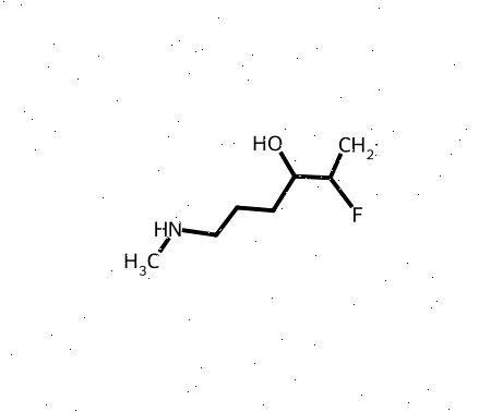 [CH2]C(F)C(O)CCCNC